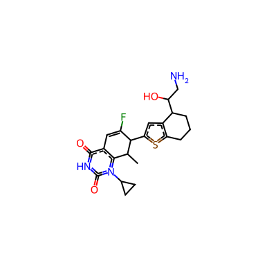 CC1c2c(c(=O)[nH]c(=O)n2C2CC2)C=C(F)C1c1cc2c(s1)CCCC2C(O)CN